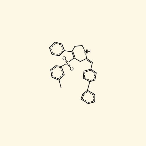 Cc1cccc(S(=O)(=O)C2=C(c3ccccc3)CCNC(=Cc3ccc(-c4ccccc4)cc3)C2)c1